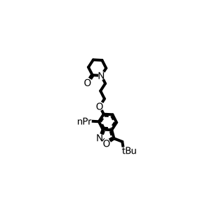 CCCc1c(OCCCN2CCCCC2=O)ccc2c(CC(C)(C)C)onc12